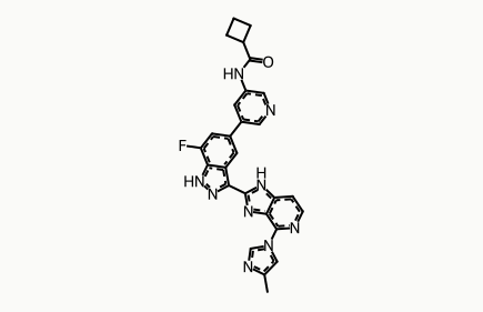 Cc1cn(-c2nccc3[nH]c(-c4n[nH]c5c(F)cc(-c6cncc(NC(=O)C7CCC7)c6)cc45)nc23)cn1